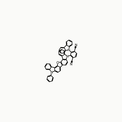 N#Cc1ccc(C#N)c(-n2c3ccccc3c3c4oc5c(ccc6c5c5ccccc5n6-c5ccccc5)c4ccc32)c1-n1c2ccccc2c2ccccc21